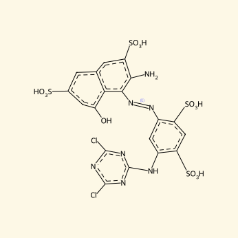 Nc1c(S(=O)(=O)O)cc2cc(S(=O)(=O)O)cc(O)c2c1/N=N/c1cc(Nc2nc(Cl)nc(Cl)n2)c(S(=O)(=O)O)cc1S(=O)(=O)O